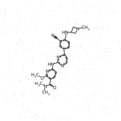 COc1nc(Nc2nccc(-c3ccc(NC4CN(C)C4)c(C#N)c3)n2)ccc1C(=O)N(C)C